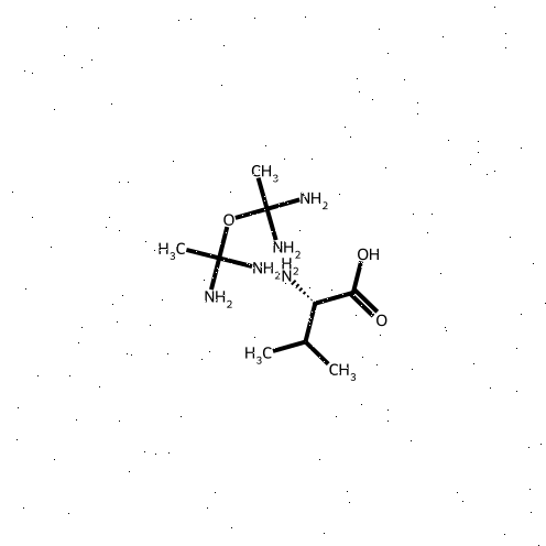 CC(C)[C@H](N)C(=O)O.CC(N)(N)OC(C)(N)N